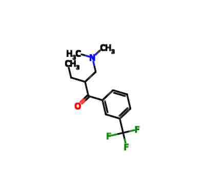 CCC(CN(C)C)C(=O)c1cccc(C(F)(F)F)c1